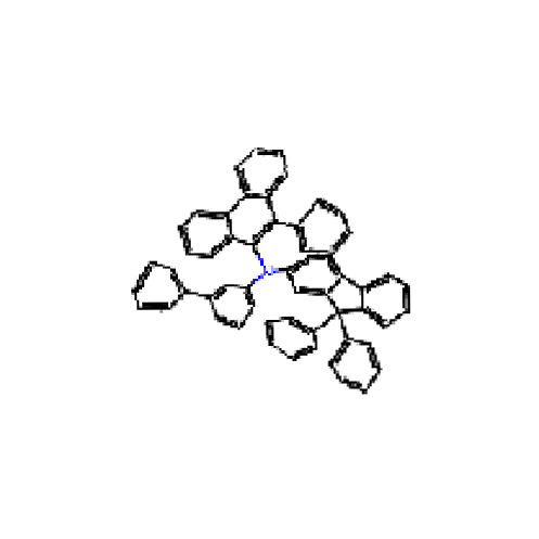 c1ccc(-c2cccc(N(c3ccc4c(c3)C(c3ccccc3)(c3ccccc3)c3ccccc3-4)c3c(-c4ccccc4)c4ccccc4c4ccccc34)c2)cc1